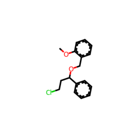 COc1ccccc1COC(CCCl)c1ccccc1